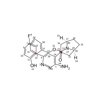 Nc1nnc(-c2cc(F)ccc2O)cc1N1C[C@H]2CC[C@@H](C1)N2C(=O)OCc1ccccc1